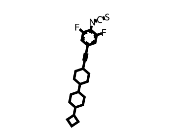 Fc1cc(C#CC2CCC(C3CCC(C4CCC4)CC3)CC2)cc(F)c1N=C=S